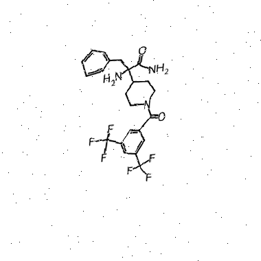 NC(=O)C(N)(Cc1ccccc1)C1CCN(C(=O)c2cc(C(F)(F)F)cc(C(F)(F)F)c2)CC1